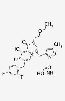 CCOCCN1CN(Cc2cc(C)on2)n2cc(Cc3ccc(F)cc3F)c(=O)c(O)c2C1=O.N.O=CO